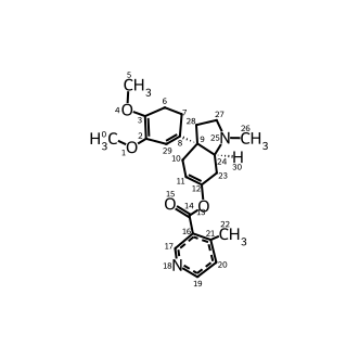 COC1=C(OC)CCC([C@@]23CC=C(OC(=O)c4cnccc4C)C[C@@H]2N(C)CC3)=C1